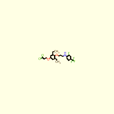 CCc1cc(OCC=C(Cl)Cl)cc(CC)c1OCCCNc1ccc(C(F)(F)F)cc1F